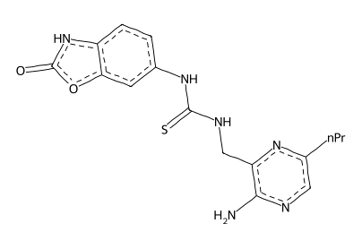 CCCc1cnc(N)c(CNC(=S)Nc2ccc3[nH]c(=O)oc3c2)n1